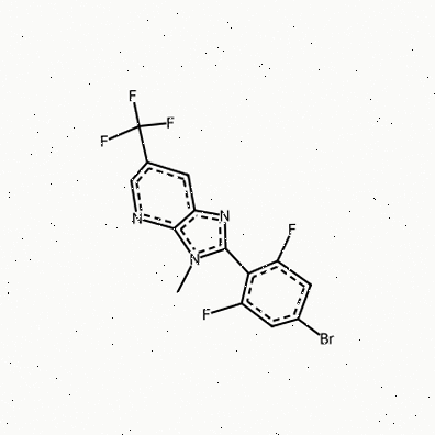 Cn1c(-c2c(F)cc(Br)cc2F)nc2cc(C(F)(F)F)cnc21